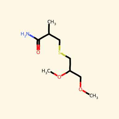 COCC(CSCC(C)C(N)=O)OC